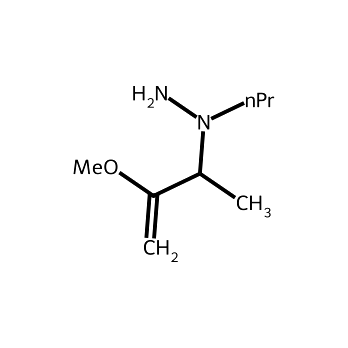 C=C(OC)C(C)N(N)CCC